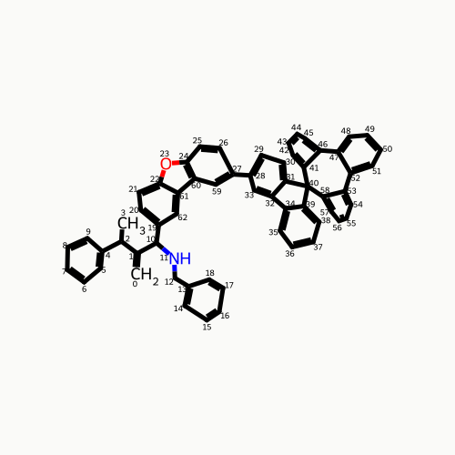 C=C(C(C)c1ccccc1)C(NCc1ccccc1)c1ccc2oc3ccc(-c4ccc5c(c4)-c4ccccc4C54c5ccccc5-c5ccccc5-c5ccccc54)cc3c2c1